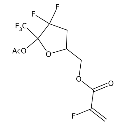 C=C(F)C(=O)OCC1CC(F)(F)C(OC(C)=O)(C(F)(F)F)O1